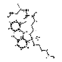 CNC[C@H](C)NC(=O)N(C)CCCC[C@@](O)(CCCCOC)c1cccc(F)c1Oc1ccccc1C